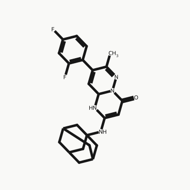 CC1=NN2C(=O)C=C(NC34CC5CC(CC(C5)C3)C4)NC2C=C1c1ccc(F)cc1F